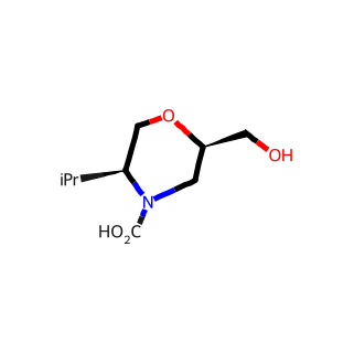 CC(C)[C@H]1CO[C@@H](CO)CN1C(=O)O